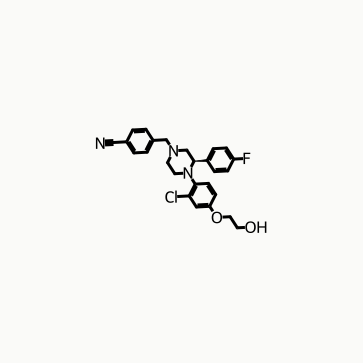 N#Cc1ccc(CN2CCN(c3ccc(OCCO)cc3Cl)[C@H](c3ccc(F)cc3)C2)cc1